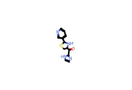 O=C(c1ncc[nH]1)C1CSC(c2cccnc2)N1